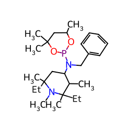 CCC1(C)CC(N(Cc2ccccc2)P2OC(C)CC(C)(C)O2)C(C)C(C)(CC)N1C